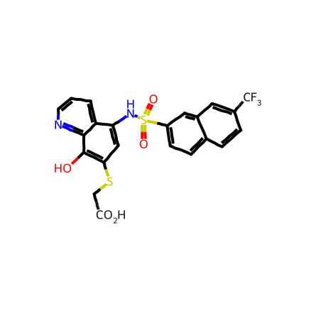 O=C(O)CSc1cc(NS(=O)(=O)c2ccc3ccc(C(F)(F)F)cc3c2)c2cccnc2c1O